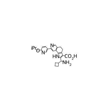 CC(C)Oc1ccc(-c2cc3c(cn2)CCc2c-3[nH]c(C(N)C3CCC3)c2C(=O)O)cn1